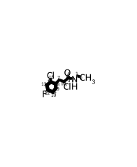 CCNC(=O)C(Cl)Cc1c[c]c(F)cc1Cl